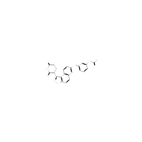 CC(=O)Nc1cccc(Oc2ccc3c(ccc4onc(C5CCC(=O)NC5=O)c43)c2)c1